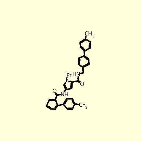 Cc1ccc(-c2ccc(CNC(=O)c3cc(NC(=O)c4ccccc4-c4ccc(C(F)(F)F)cc4)cn3C(C)C)cc2)cc1